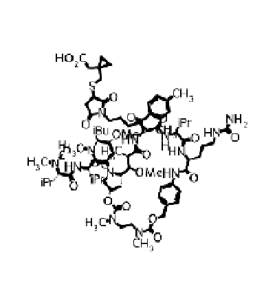 CC[C@H](C)[C@@H]([C@@H](CC(=O)N1C[C@@H](OC(=O)N(C)CCN(C)C(=O)OCc2ccc(NC(=O)[C@H](CCCNC(N)=O)NC(=O)[C@@H](NC(=O)CCCCCN3C(=O)CC(SCC4(CC(=O)O)CC4)C3=O)C(C)C)cc2)C[C@H]1[C@H](OC)[C@@H](C)C(=O)NCC(=O)c1ccc(C)cc1C)OC)N(C)C(=O)[C@@H](NC(=O)[C@H](C(C)C)N(C)C)C(C)C